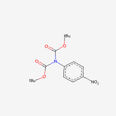 CC(C)(C)OC(=O)N(C(=O)OC(C)(C)C)c1ccc([N+](=O)[O-])cc1